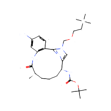 C[C@@H]1CCC[C@H](NC(=O)OC(C)(C)C)c2cn(COCC[Si](C)(C)C)c(n2)-c2ccc(N)cc2NC1=O